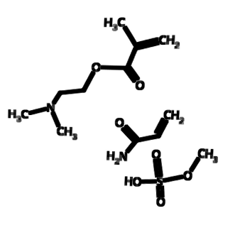 C=C(C)C(=O)OCCN(C)C.C=CC(N)=O.COS(=O)(=O)O